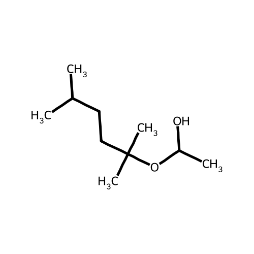 CC(C)CCC(C)(C)OC(C)O